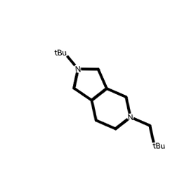 CC(C)(C)CN1CCC2CN(C(C)(C)C)CC2C1